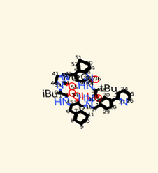 CCC(C)C(C(=O)NC(Cc1ccccc1)C(O)CN(Cc1ccc(-c2ccccn2)cc1)NC(=O)C(NC(=O)OC)C(C)(C)C)N1CCN(Cc2ccnc3ccccc23)C1=O